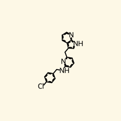 Clc1ccc(CNc2cccc(Cc3c[nH]c4ncccc34)n2)cc1